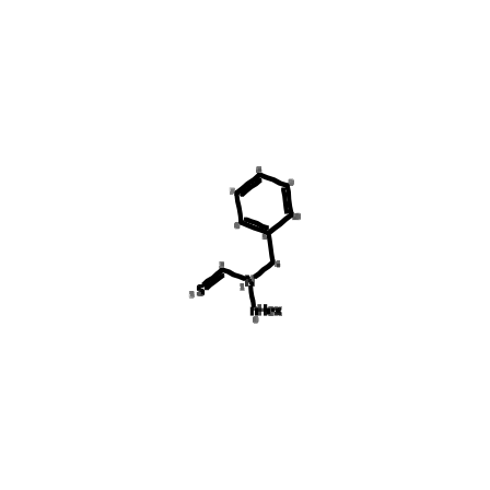 CCCCCCN(C=S)Cc1ccccc1